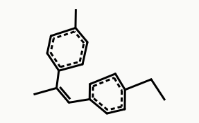 CCc1ccc(C=C(C)c2ccc(C)cc2)cc1